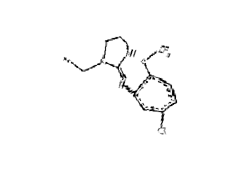 CC(=O)CN1CCN/C1=N\c1cc(Cl)ccc1OC(F)(F)F